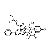 CCC(=O)OCC(=O)[C@@]1(OC(=O)c2ccccc2)C(C)C[C@H]2[C@@H]3C(Br)C(F)C4=CC(=O)C=C[C@]4(C)[C@@]3(Cl)C(O)C[C@@]21C